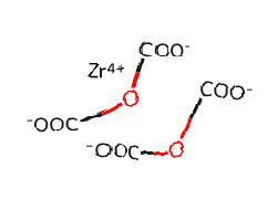 O=C([O-])OC(=O)[O-].O=C([O-])OC(=O)[O-].[Zr+4]